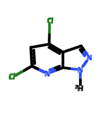 [2H]n1ncc2c(Cl)cc(Cl)nc21